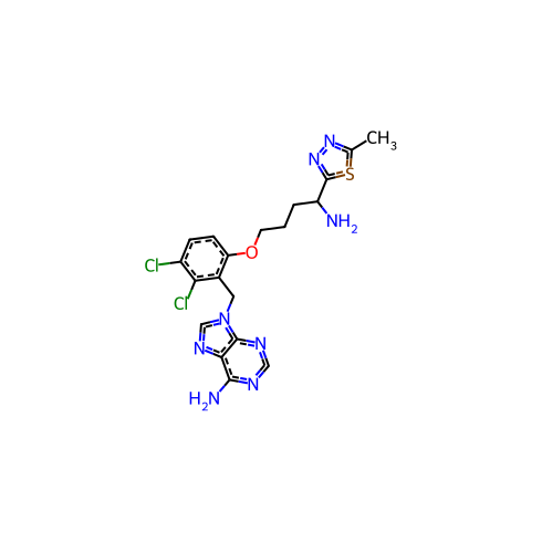 Cc1nnc(C(N)CCCOc2ccc(Cl)c(Cl)c2Cn2cnc3c(N)ncnc32)s1